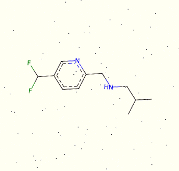 CC(C)CNCc1ccc(C(F)F)cn1